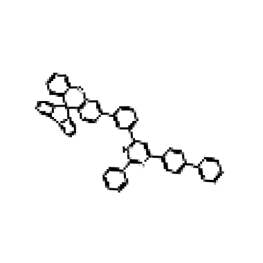 c1ccc(-c2ccc(-c3cc(-c4cccc(-c5ccc6c(c5)Sc5ccccc5C65c6ccccc6-c6ccccc65)c4)nc(-c4ccccc4)n3)cc2)cc1